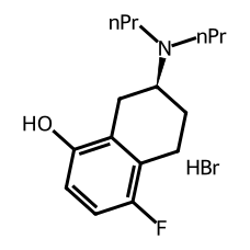 Br.CCCN(CCC)[C@H]1CCc2c(F)ccc(O)c2C1